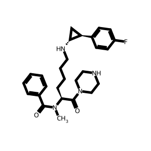 CN(C(=O)c1ccccc1)[C@@H](CCCCN[C@@H]1C[C@H]1c1ccc(F)cc1)C(=O)N1CCNCC1